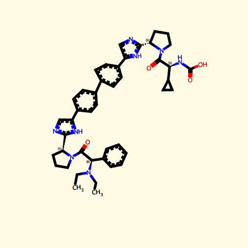 CCN(CC)[C@@H](C(=O)N1CCC[C@H]1c1ncc(-c2ccc(-c3ccc(-c4cnc([C@@H]5CCCN5C(=O)[C@@H](NC(=O)O)C5CC5)[nH]4)cc3)cc2)[nH]1)c1ccccc1